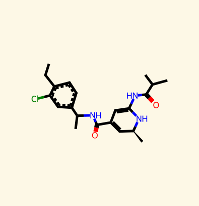 CCc1ccc(C(C)NC(=O)C2=C[C@H](C)NC(NC(=O)C(C)C)=C2)cc1Cl